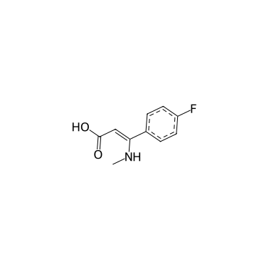 CNC(=CC(=O)O)c1ccc(F)cc1